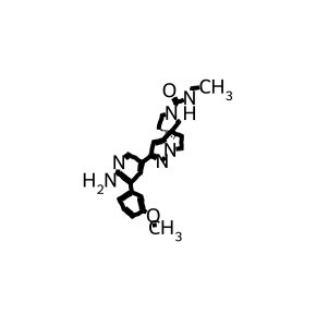 CCNC(=O)N1CC[C@@]2(CCn3nc(-c4cnc(N)c(-c5cccc(OC)c5)c4)cc32)C1